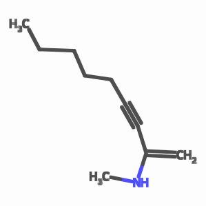 C=C(C#CCCCCC)NC